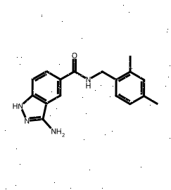 Cc1ccc(CNC(=O)c2ccc3[nH]nc(N)c3c2)c(C)c1